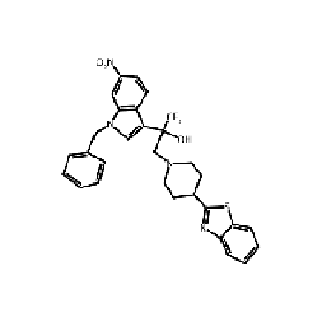 O=[N+]([O-])c1ccc2c(C(O)(CN3CCC(c4nc5ccccc5s4)CC3)C(F)(F)F)cn(Cc3ccccc3)c2c1